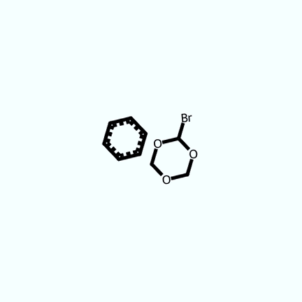 BrC1OCOCO1.c1ccccc1